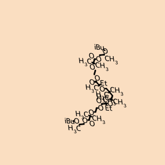 CCC(C)OC(C)COC(=O)C(C)(C)OCCOC(=O)C(C)(CC)OCC(C)(C)CC(C)(C)OC(C)(CC)C(=O)OCCOC(C)(C)C(=O)OCC(C)OC(C)CC